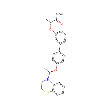 COC(=O)C(C)Oc1cccc(-c2ccc(OC(C)N3CCSc4ccccc43)cc2)c1